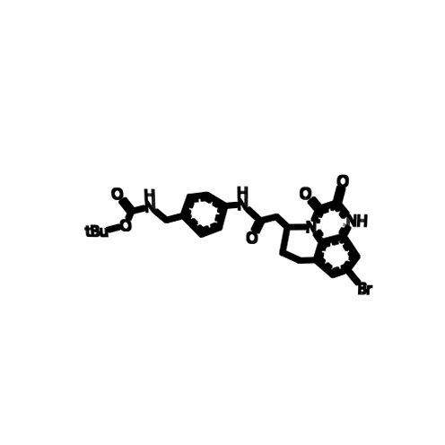 CC(C)(C)OC(=O)NCc1ccc(NC(=O)CC2CCc3cc(Br)cc4[nH]c(=O)c(=O)n2c34)cc1